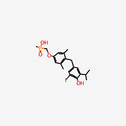 Cc1cc(OCP(C)(=O)O)cc(C)c1Cc1cc(I)c(O)c(C(C)C)c1